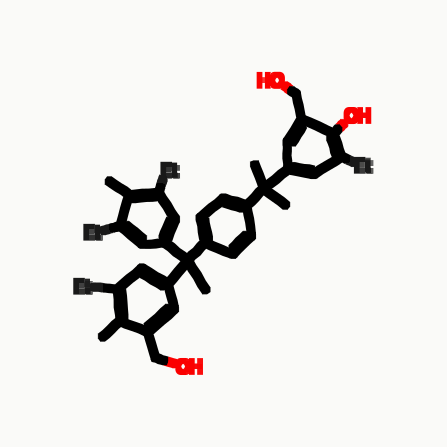 CCc1cc(C(C)(c2ccc(C(C)(C)c3cc(CC)c(O)c(CO)c3)cc2)c2cc(CC)c(C)c(CO)c2)cc(CC)c1C